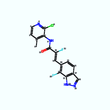 Cc1ccnc(Cl)c1NC(=O)/C(F)=C/c1ccc2cn[nH]c2c1F